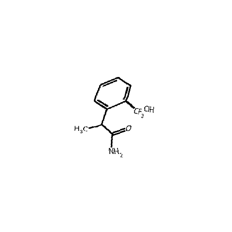 CC(C(N)=O)c1ccccc1C(F)(F)F.Cl